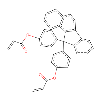 C=CC(=O)Oc1ccc(C2(c3ccc(OC(=O)C=C)cc3)c3ccccc3-c3ccc4ccccc4c32)cc1